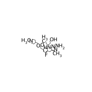 CCCC(CCO)Nc1nc(N)nc(C)c1Cc1ccc(CC(=O)OCC2CCN(C)CC2)cc1F